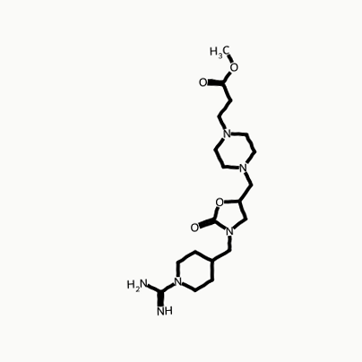 COC(=O)CCN1CCN(CC2CN(CC3CCN(C(=N)N)CC3)C(=O)O2)CC1